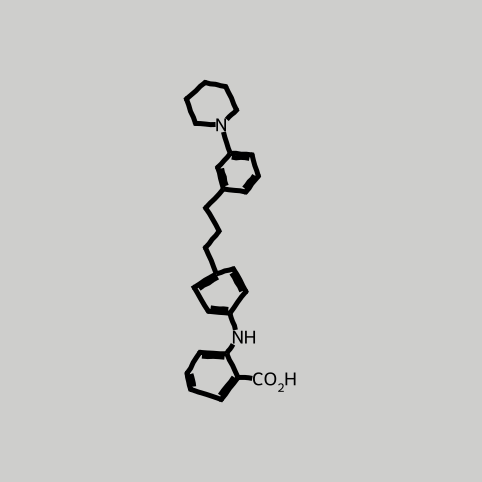 O=C(O)c1ccccc1Nc1ccc(CCCc2cccc(N3CCCCC3)c2)cc1